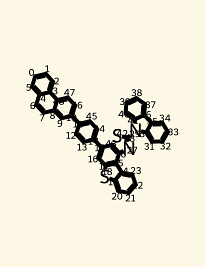 c1ccc2c(c1)ccc1cc(-c3ccc(-c4cc5sc6ccccc6c5c5nc(-n6c7ccccc7c7ccccc76)sc45)cc3)ccc12